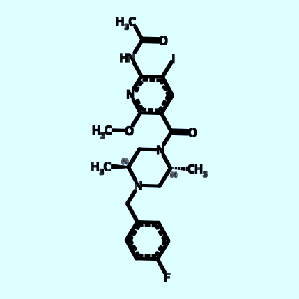 COc1nc(NC(C)=O)c(I)cc1C(=O)N1C[C@H](C)N(Cc2ccc(F)cc2)C[C@H]1C